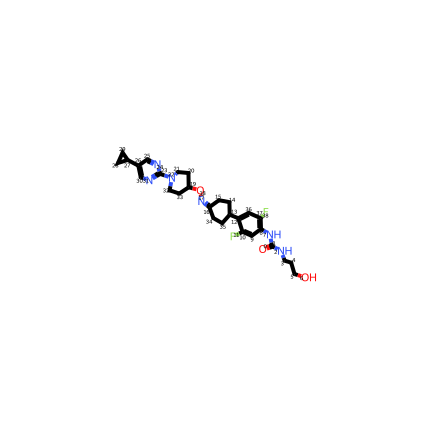 O=C(NCCCO)Nc1cc(F)c(C2CCC(=NOC3CCN(c4ncc(C5CC5)cn4)CC3)CC2)cc1F